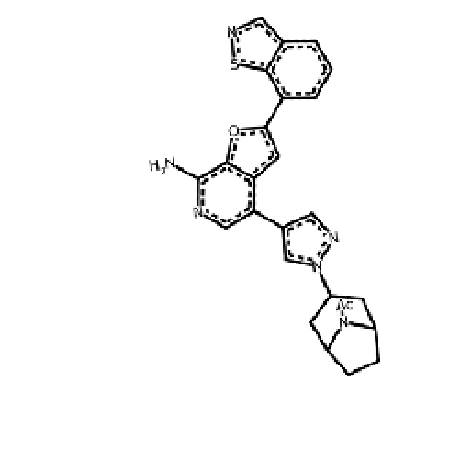 CC(=O)N1C2CCC1CC(n1cc(-c3cnc(N)c4oc(-c5cccc6cnsc56)cc34)cn1)C2